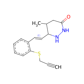 C#CCSc1ccccc1/C=C/C1NNC(=O)CC1C